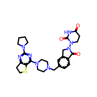 O=C1CCN(N2Cc3cc(CN4CCN(c5nc(N6CCCC6)nc6c5SCC6)CC4)ccc3C2=O)C(=O)N1